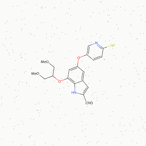 COCC(COC)Oc1cc(Oc2ccc(S)nc2)cc2cc(C=O)[nH]c12